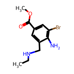 CCNCc1cc(C(=O)OC)cc(Br)c1N